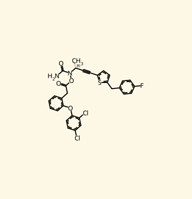 C[C@H](C#Cc1ccc(Cc2ccc(F)cc2)s1)N(OC(=O)Cc1ccccc1Oc1ccc(Cl)cc1Cl)C(N)=O